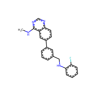 CNc1ncnc2ccc(-c3cccc(CNc4ccccc4F)c3)cc12